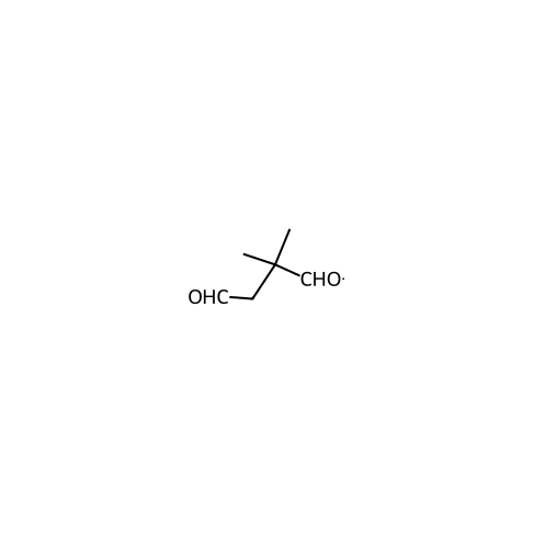 CC(C)([C]=O)CC=O